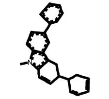 Cn1c2c(c3cc(-c4ccccc4)ccc31)CC(C1C=CC=CC1)C=C2